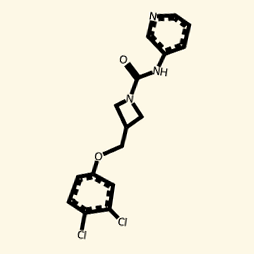 O=C(Nc1cccnc1)N1CC(COc2ccc(Cl)c(Cl)c2)C1